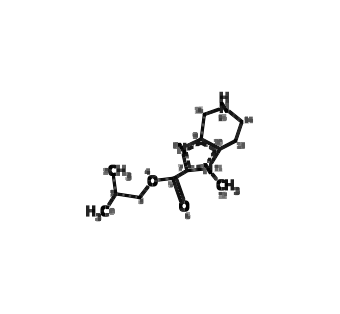 CC(C)COC(=O)c1nc2c(n1C)CCNC2